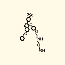 CS(=O)(=O)c1ccc(-c2ccc3cc(OCc4ccccc4)ccc3c2Oc2ccc(OCCCNCCOCCO)cc2)cc1